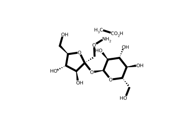 CC(=O)O.NOC[C@@]1(O[C@@H]2O[C@@H](CO)[C@H](O)[C@@H](O)[C@@H]2O)O[C@H](CO)[C@@H](O)[C@@H]1O